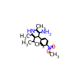 CO[N+](=O)c1ccc(C2C(N)=C(C)NC(C)=C2C(C)C)cc1